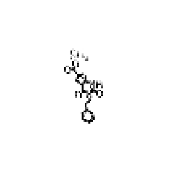 CCOC(=O)c1cc2c(=O)n(CCc3ccccc3)c(=O)[nH]c2s1